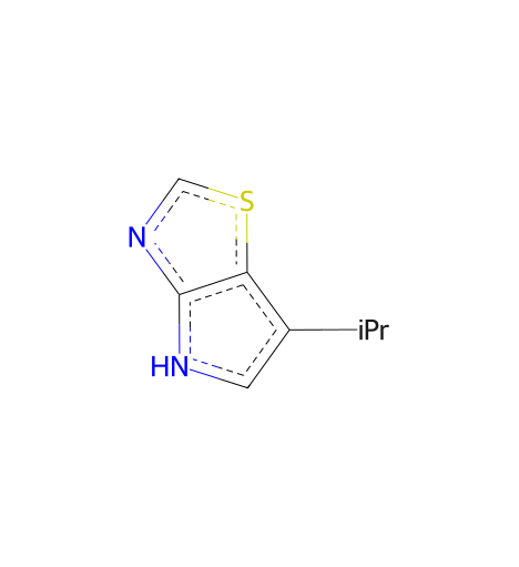 CC(C)c1c[nH]c2ncsc12